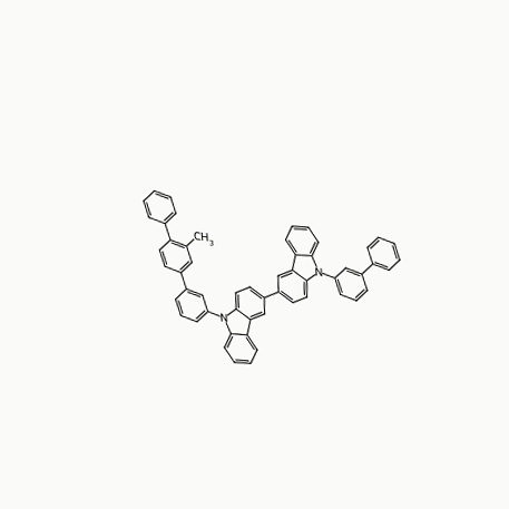 Cc1cc(-c2cccc(-n3c4ccccc4c4cc(-c5ccc6c(c5)c5ccccc5n6-c5cccc(-c6ccccc6)c5)ccc43)c2)ccc1-c1ccccc1